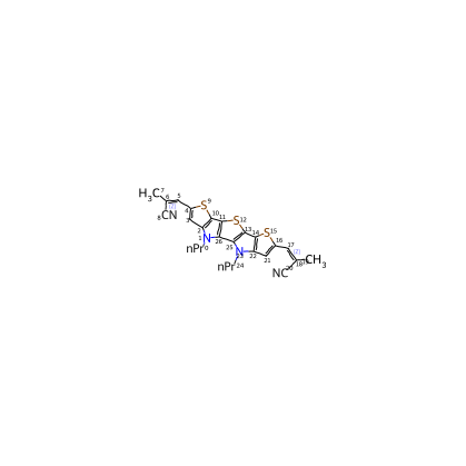 CCCn1c2cc(/C=C(/C)C#N)sc2c2sc3c4sc(/C=C(/C)C#N)cc4n(CCC)c3c21